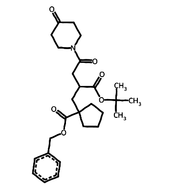 CC(C)(C)OC(=O)C(CC(=O)N1CCC(=O)CC1)CC1(C(=O)OCc2ccccc2)CCCC1